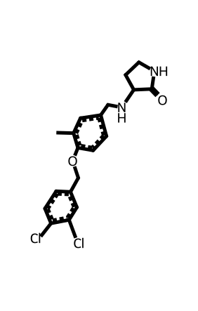 Cc1cc(CNC2CCNC2=O)ccc1OCc1ccc(Cl)c(Cl)c1